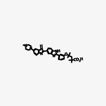 CN1CCN(c2ccc3nc(-c4ccc5[nH]c(-c6cccc(OC(C)(C)CC(C)(C)C(=O)O)c6)nc5c4)[nH]c3c2)CC1